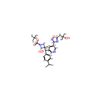 CC(C)c1ccc([C@](O)(c2cncc(-c3noc(CC(C)(C)O)n3)c2)C2(C)CN(C(=O)OC(C)(C)C)C2)cc1